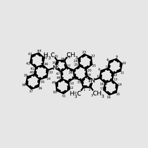 Cc1c(C)n(-c2cc3ccccc3c3ccccc23)c2c3ccccc3c3c4c(C)c(C)n(-c5cc6ccccc6c6ccccc56)c4c4ccccc4c3c12